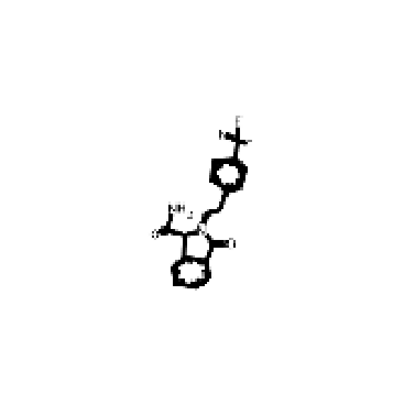 NC(=O)C1c2ccccc2C(=O)N1CCc1ccc(C(F)(F)F)cc1